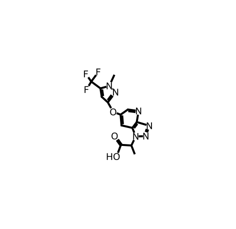 CC(C(=O)O)n1nnc2ncc(Oc3cc(C(F)(F)F)n(C)n3)cc21